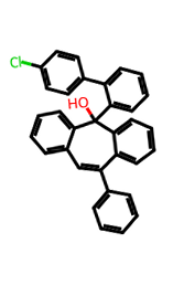 OC1(c2ccccc2-c2ccc(Cl)cc2)c2ccccc2C=C(c2ccccc2)c2ccccc21